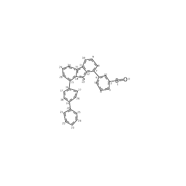 O=Bc1cccc(-c2cccc3c2sc2c(-c4ccc(-c5ccccc5)cc4)cccc23)c1